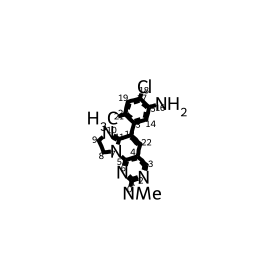 CNc1ncc2c(n1)N1CCN=C1C(c1cc(N)c(Cl)cc1C)=C2